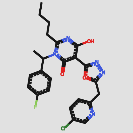 CCCCc1nc(O)c(-c2nnc(Cc3ccc(Cl)cn3)o2)c(=O)n1C(C)c1ccc(F)cc1